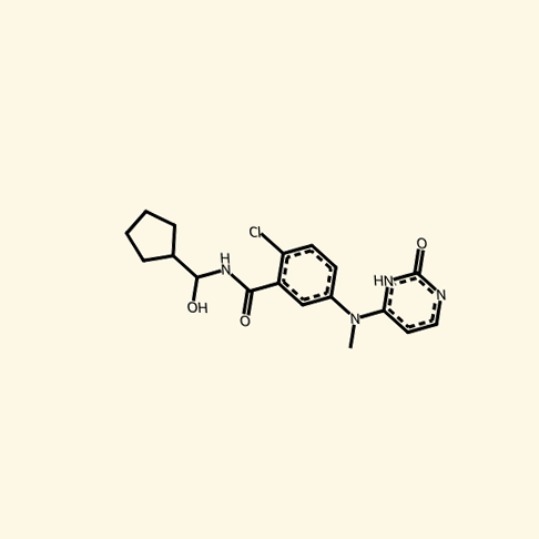 CN(c1ccc(Cl)c(C(=O)NC(O)C2CCCC2)c1)c1ccnc(=O)[nH]1